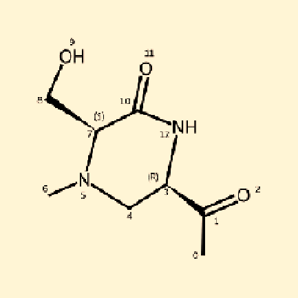 CC(=O)[C@H]1CN(C)[C@@H](CO)C(=O)N1